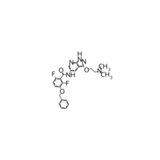 CN(C)CCOc1n[nH]c2ncc(NC(=O)c3c(F)ccc(OCc4ccccc4)c3F)cc12